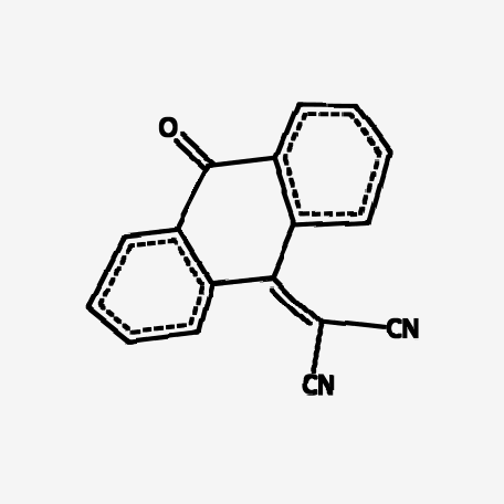 N#CC(C#N)=C1c2ccccc2C(=O)c2ccccc21